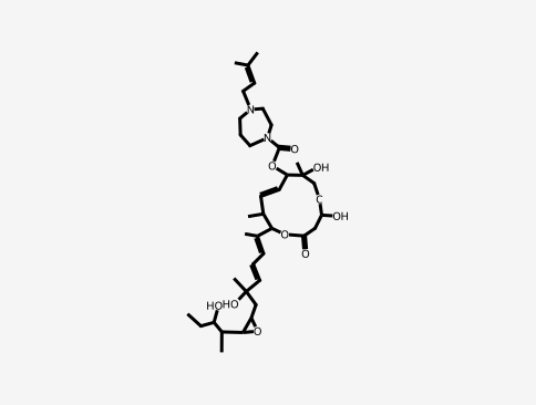 CCC(O)C(C)C1OC1CC(C)(O)/C=C/C=C(\C)C1OC(=O)CC(O)CCC(C)(O)C(OC(=O)N2CCCN(CC=C(C)C)CC2)/C=C/C1C